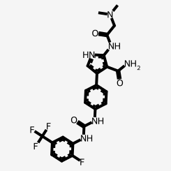 CN(C)CC(=O)Nc1[nH]cc(-c2ccc(NC(=O)Nc3cc(C(F)(F)F)ccc3F)cc2)c1C(N)=O